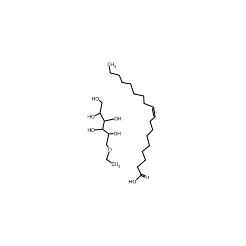 CCCCCCCC/C=C\CCCCCCCC(=O)O.CCOCC(O)C(O)C(O)C(O)CO